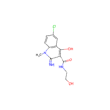 Cn1c(=N)c(C(=O)NCCO)c(O)c2cc(Cl)ccc21